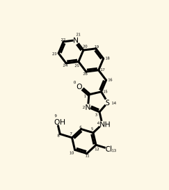 O=C1N=C(Nc2cc(CO)ccc2Cl)SC1=Cc1ccc2ncccc2c1